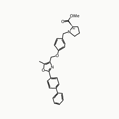 COC(=O)[C@H]1CCCN1Cc1ccc(OCc2nc(-c3ccc(-c4ccccc4)cc3)oc2C)cc1